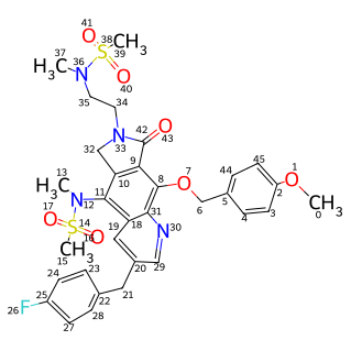 COc1ccc(COc2c3c(c(N(C)S(C)(=O)=O)c4cc(Cc5ccc(F)cc5)cnc24)CN(CCN(C)S(C)(=O)=O)C3=O)cc1